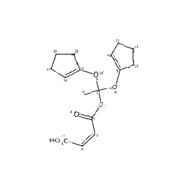 CC(OC(=O)/C=C\C(=O)O)(OC1=CCCC1)OC1=CCCC1